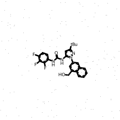 CC(C)(C)c1cc(NC(=O)Nc2ccc(F)c(F)c2F)n(-c2cc(CO)c3ccccc3c2)n1